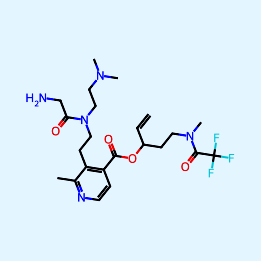 C=CC(CCN(C)C(=O)C(F)(F)F)OC(=O)c1ccnc(C)c1CCN(CCN(C)C)C(=O)CN